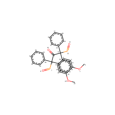 COc1ccc(C(P=O)(C(=O)C(P=O)(c2ccccc2)c2ccc(OC)cc2)c2ccccc2)cc1